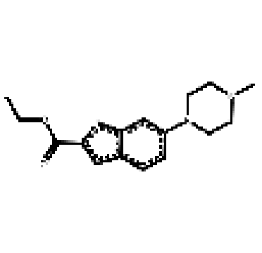 CCOC(=O)c1cc2ccc(N3CCN(C)CC3)cc2s1